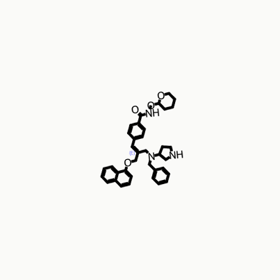 O=C(NOC1CCCCO1)c1ccc(/C=C(/COc2cccc3ccccc23)CN(Cc2ccccc2)C2CCNC2)cc1